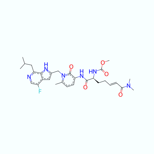 COC(=O)N[C@@H](CC/C=C/C(=O)N(C)C)C(=O)Nc1ccc(C)n(Cc2cc3c(F)cnc(CC(C)C)c3[nH]2)c1=O